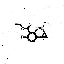 CCOC(=O)c1c(F)ccc2c1OB(O)C1CC21